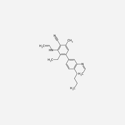 C=CNc1c(C#N)c(C)cc(-c2ccc(CCCC)c(/N=C\C)c2)c1CC